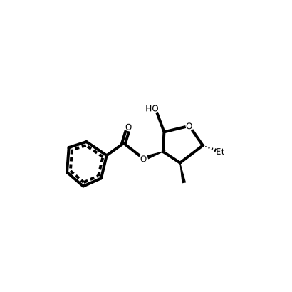 CC[C@H]1OC(O)[C@H](OC(=O)c2ccccc2)[C@@H]1C